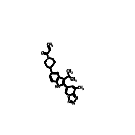 C=CC(=O)N1CCC(c2ccc3[nH]c(-c4cc(C)c5nnnn5c4)c(C(C)C)c3c2)CC1